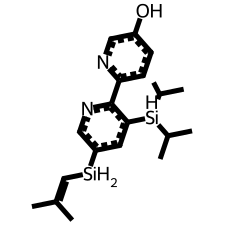 CC(C)=C[SiH2]c1cnc(-c2ccc(O)cn2)c([SiH](C(C)C)C(C)C)c1